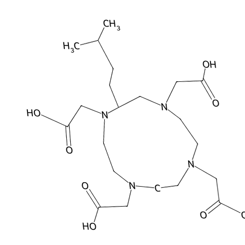 CC(C)CCC1CN(CC(=O)O)CCN(CC(=O)O)CCN(CC(=O)O)CCN1CC(=O)O